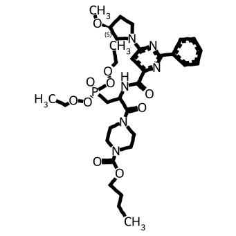 CCCCOC(=O)N1CCN(C(=O)C(CP(=O)(OOCC)OOCC)NC(=O)c2cc(N3CC[C@H](OC)C3)nc(-c3ccccc3)n2)CC1